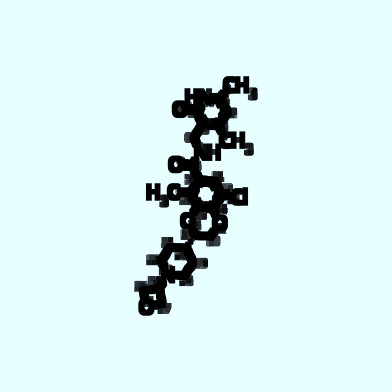 Cc1cc(C)c(CNC(=O)c2cc(Cl)c3c(c2C)O[C@@H](C2CCN(C4COC4)CC2)CO3)c(=O)[nH]1